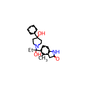 CC[C@](O)(c1ccc2c(c1C)CC(=O)N2)N1CCC(O)(c2ccccc2)CC1